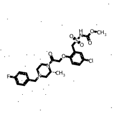 COC(=O)NS(=O)(=O)Cc1cc(Cl)ccc1OCC(=O)N1CCN(Cc2ccc(F)cc2)C[C@H]1C